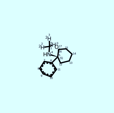 [2H]C([2H])([2H])N[C@]1(c2ccccc2)CCCCC1=O